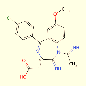 COc1ccc2c(c1)C(c1ccc(Cl)cc1)=N[C@@H](CC(=O)O)C(=N)N2C(C)=N